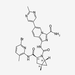 Cc1ncc(-c2ccc3c(NC(=O)N4[C@H](C(=O)Nc5nc(Br)ccc5C)C[C@@]5(C)C[C@@H]45)nc(C(N)=O)n3c2)cn1